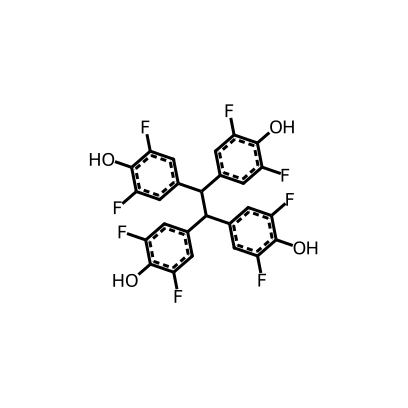 Oc1c(F)cc(C(c2cc(F)c(O)c(F)c2)C(c2cc(F)c(O)c(F)c2)c2cc(F)c(O)c(F)c2)cc1F